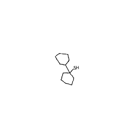 SC1(C2CCCCC2)CCCCC1